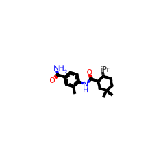 Cc1cc(C(N)=O)ccc1NC(=O)C1CC(C)(C)CCC1C(C)C